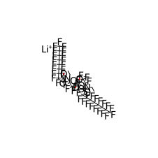 CCN(C(F)(OP(=O)([O-])OC(F)(N(CC)S(=O)(=O)C(F)(F)C(F)(F)C(F)(F)C(F)(F)C(F)(F)C(F)(F)C(F)(F)C(F)(F)F)C(F)(F)F)C(F)(F)F)S(=O)(=O)C(F)(F)C(F)(F)C(F)(F)C(F)(F)C(F)(F)C(F)(F)C(F)(F)C(F)(F)F.[Li+]